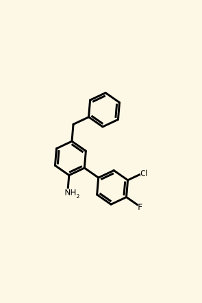 Nc1ccc(Cc2ccccc2)cc1-c1ccc(F)c(Cl)c1